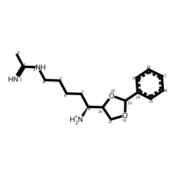 CC(=N)NCCCC[C@H](N)C1COC(c2ccccc2)O1